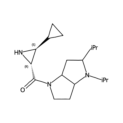 CC(C)C1CC2C(CCN2C(=O)[C@@H]2N[C@H]2C2CC2)N1C(C)C